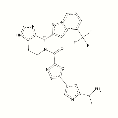 CC(P)n1cc(-c2nnc(C(=O)N3CCc4[nH]cnc4[C@@H]3c3cc4c(C(F)(F)F)cccn4n3)o2)cn1